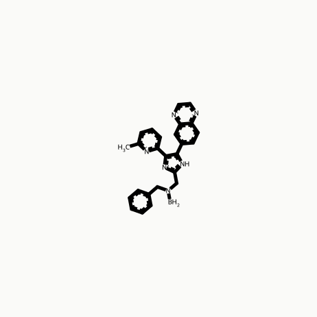 BN(Cc1ccccc1)Cc1nc(-c2cccc(C)n2)c(-c2ccc3nccnc3c2)[nH]1